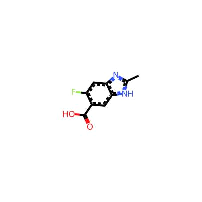 Cc1nc2cc(F)c(C(=O)O)cc2[nH]1